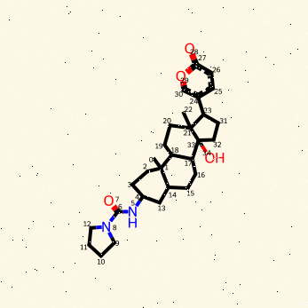 CC12CCC(NC(=O)N3CCCC3)CC1CCC1C2CCC2(C)C(c3ccc(=O)oc3)CCC12O